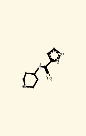 Cl.O=C(NC1CCNCC1)c1cc[nH]n1